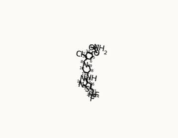 NS(=O)(=O)c1ccc(CN2CCC(Nc3ncnc4sc(CC(F)(F)F)cc34)CC2)c(Cl)c1